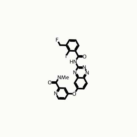 CNC(=O)c1cc(Oc2ccc3nnc(NC(=O)c4cccc(CF)c4I)nc3c2)ccn1